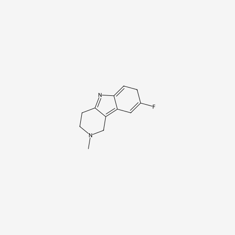 CN1CCC2=NC3=CCC(F)=CC3=C2C1